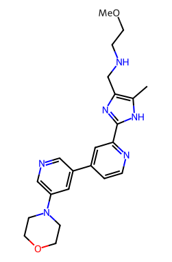 COCCNCc1nc(-c2cc(-c3cncc(N4CCOCC4)c3)ccn2)[nH]c1C